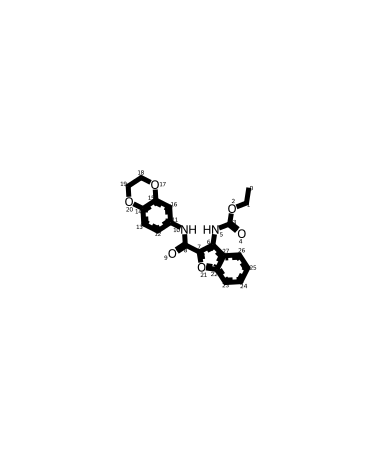 CCOC(=O)Nc1c(C(=O)Nc2ccc3c(c2)OCCO3)oc2ccccc12